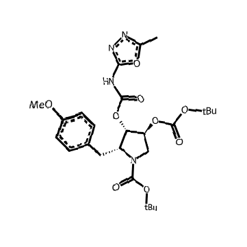 COc1ccc(C[C@@H]2[C@H](OC(=O)Nc3nnc(C)o3)[C@@H](OC(=O)OC(C)(C)C)CN2C(=O)OC(C)(C)C)cc1